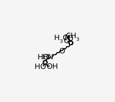 CN(C)S(=O)(=O)c1cccc(CCCCOCCCCCCNC[C@@H](O)c2ccc(O)c(CO)c2)c1